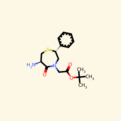 CC(C)(C)OC(=O)CN1C[C@@H](c2ccccc2)SC[C@H](N)C1=O